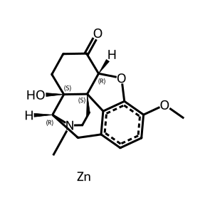 COc1ccc2c3c1O[C@H]1C(=O)CC[C@@]4(O)[C@@H](C2)N(C)CC[C@]314.[Zn]